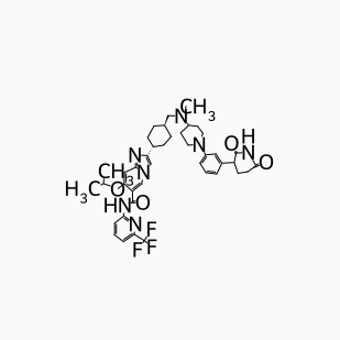 CC(C)Oc1cc2nc([C@H]3CC[C@H](CN(C)C4CCN(c5cccc(C6CCC(=O)NC6=O)c5)CC4)CC3)cn2cc1C(=O)Nc1cccc(C(F)(F)F)n1